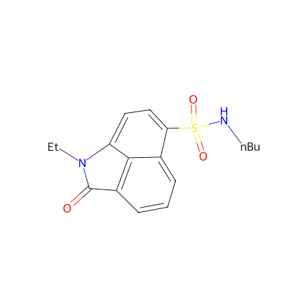 [CH2]CCCNS(=O)(=O)c1ccc2c3c(cccc13)C(=O)N2CC